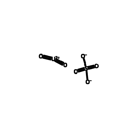 O=S(=O)([O-])[O-].[O]=[U+2]=[O]